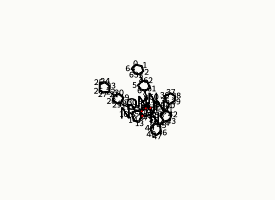 c1ccc(-c2ccc(-c3nc(-c4cccc5nc(-c6ccc(-c7ccccc7)cc6)oc45)nc(-n4c5ccccc5c5ccc6c7ccccc7n(-c7ccccc7)c6c54)n3)cc2)cc1